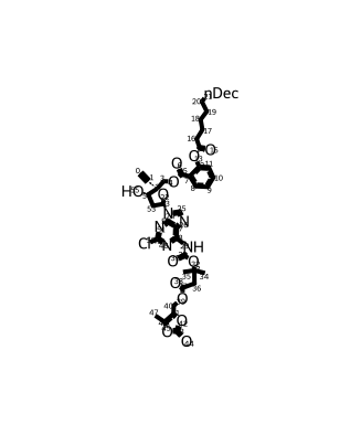 C#C[C@]1(COC(=O)c2ccccc2OC(=O)CCCCCCCCCCCCCCC)O[C@@H](n2cnc3c(NC(=O)OC(C)(C)CC(=O)OCc4oc(=O)oc4C)nc(Cl)nc32)C[C@@H]1O